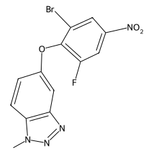 Cn1nnc2cc(Oc3c(F)cc([N+](=O)[O-])cc3Br)ccc21